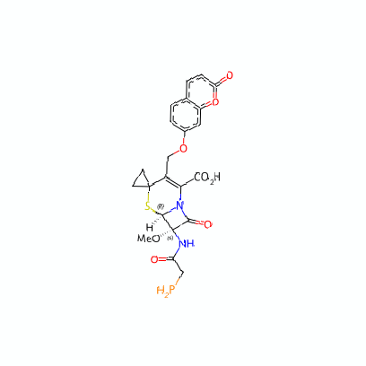 CO[C@@]1(NC(=O)CP)C(=O)N2C(C(=O)O)=C(COc3ccc4ccc(=O)oc4c3)C3(CC3)S[C@@H]21